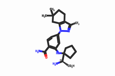 CC1(C)CCc2c(C(F)(F)F)nn(-c3ccc(C(N)=O)c(NC4([C@H](N)C(=O)O)CCCC4)c3)c2C1